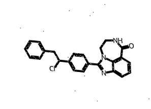 O=C1NCCn2c(-c3ccc(C(Cl)Cc4ccccc4)cc3)nc3cccc1c32